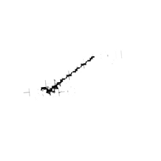 C/C=C\C(=O)N(C=O)CC(=O)NCCOCCOCCOCCOCCC(=O)O